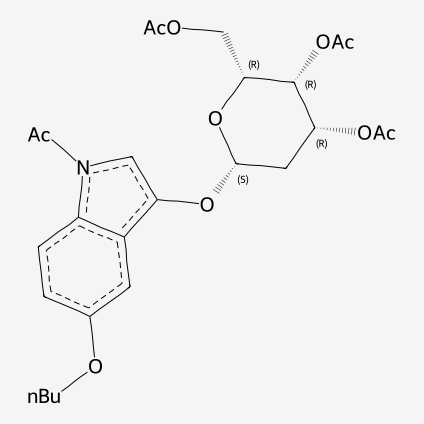 CCCCOc1ccc2c(c1)c(O[C@H]1C[C@@H](OC(C)=O)[C@@H](OC(C)=O)[C@@H](COC(C)=O)O1)cn2C(C)=O